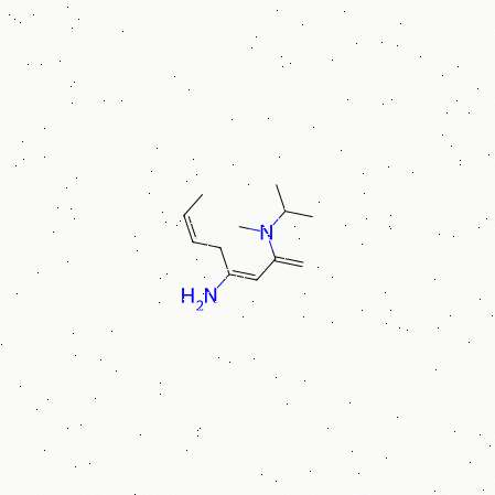 C=C(/C=C(/N)C/C=C\C)N(C)C(C)C